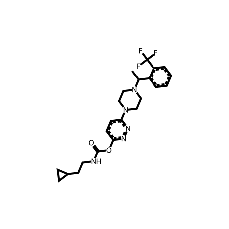 CC(c1ccccc1C(F)(F)F)N1CCN(c2ccc(OC(=O)NCCC3CC3)nn2)CC1